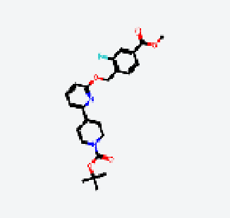 COC(=O)c1ccc(COc2cccc(C3CCN(C(=O)OC(C)(C)C)CC3)n2)c(F)c1